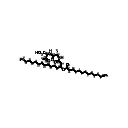 CC(C)CCCCCCCCCCCC(=O)OC(CCCCCCCCCCCC(C)C)CC(=O)N[C@@H](C)C(=O)N[C@H](C(=O)O)C(C)O